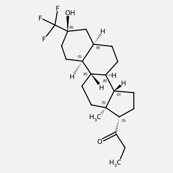 CCC(=O)[C@H]1CC[C@H]2[C@@H]3CC[C@@H]4C[C@@](O)(C(F)(F)F)CC[C@@H]4[C@H]3CC[C@]12C